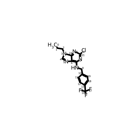 CCCn1cnc2c(NCc3ccc(C(F)(F)F)cc3)nc(Cl)nc21